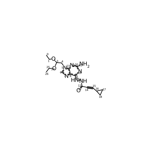 CCOC(Cn1cnc2c(NNC(=O)C#CC3CC3)nc(N)nc21)OCC